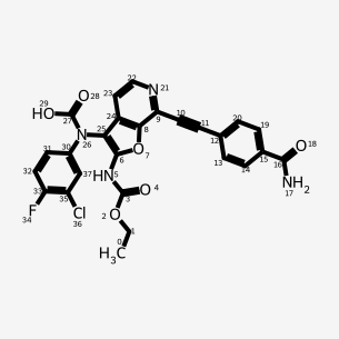 CCOC(=O)Nc1oc2c(C#Cc3ccc(C(N)=O)cc3)nccc2c1N(C(=O)O)c1ccc(F)c(Cl)c1